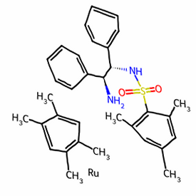 Cc1cc(C)c(C)cc1C.Cc1cc(C)c(S(=O)(=O)N[C@@H](c2ccccc2)[C@@H](N)c2ccccc2)c(C)c1.[Ru]